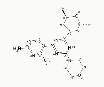 C[C@@H]1CN(c2nc(-c3cnc(N)nc3C(F)(F)F)nc(N3CCOCC3)n2)C[C@@H](C)O1